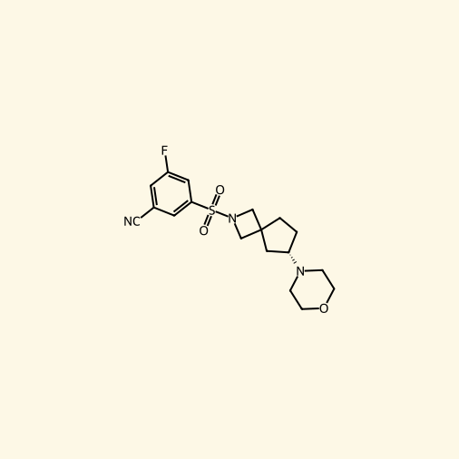 N#Cc1cc(F)cc(S(=O)(=O)N2CC3(CC[C@H](N4CCOCC4)C3)C2)c1